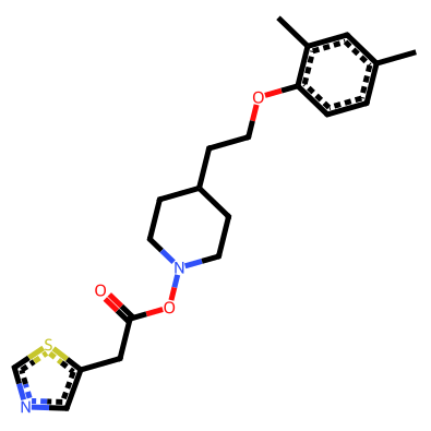 Cc1ccc(OCCC2CCN(OC(=O)Cc3cncs3)CC2)c(C)c1